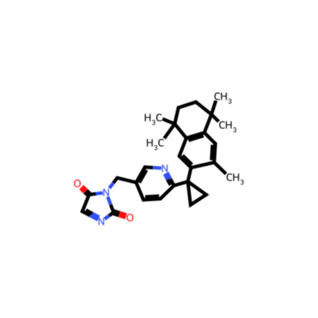 Cc1cc2c(cc1C1(c3ccc(CN4C(=O)C=NC4=O)cn3)CC1)C(C)(C)CCC2(C)C